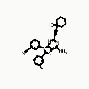 N#Cc1cccc(-n2c(-c3cccc(F)c3)nc3c(N)nc(C#CC4(O)CCCCC4)nc32)c1